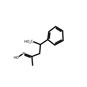 CC(CC(C(=O)O)c1ccccc1)=NO